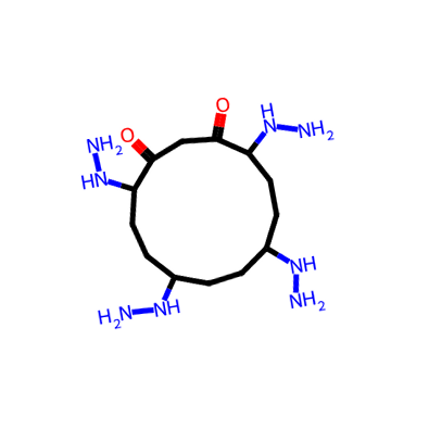 NNC1CCC(NN)CCC(NN)C(=O)CC(=O)C(NN)CC1